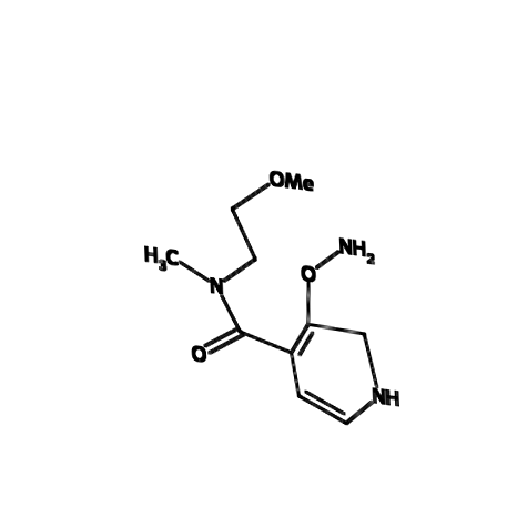 COCCN(C)C(=O)C1=C(ON)CNC=C1